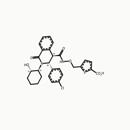 O=C(O)c1ccc(CONC(=O)[C@@H]2c3ccccc3C(=O)N([C@H]3CCCC[C@@H]3O)[C@H]2c2ccc(Cl)cc2)s1